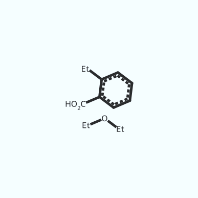 CCOCC.CCc1ccccc1C(=O)O